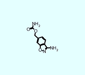 NC(=O)OCc1ccc2c(N)noc2c1